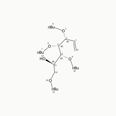 C=C[C@@H](OCCCC)[C@@H](OCCCC)[C@H](OCCCC)[C@H](O)COCCCC